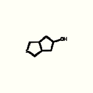 OC1CC2CSCC2C1